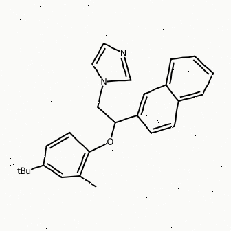 Cc1cc(C(C)(C)C)ccc1OC(Cn1ccnc1)c1ccc2ccccc2c1